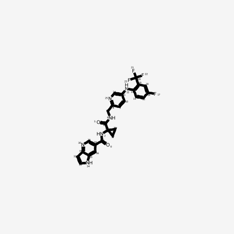 O=C(NC1(C(=O)NCc2ccc(Nc3ccc(F)cc3C(F)(F)F)cn2)CC1)c1cnc2cc[nH]c2c1